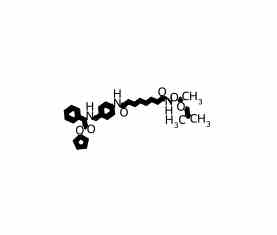 CC(C)COC(C)ONC(=O)CCCCCCC(=O)Nc1ccc(CN[C@H](C(=O)OC2CCCC2)c2ccccc2)cc1